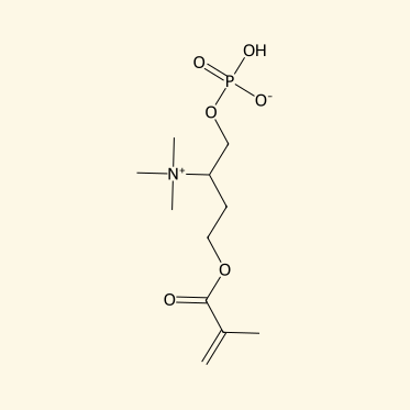 C=C(C)C(=O)OCCC(COP(=O)([O-])O)[N+](C)(C)C